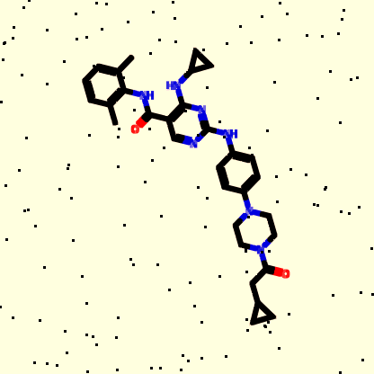 Cc1cccc(C)c1NC(=O)c1cnc(Nc2ccc(N3CCN(C(=O)CC4CC4)CC3)cc2)nc1NC1CC1